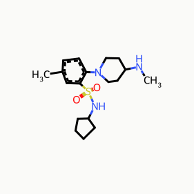 CNC1CCN(c2ccc(C)cc2S(=O)(=O)NC2CCCC2)CC1